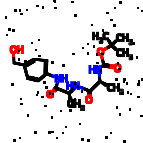 C[C@H](NC(=O)OC(C)(C)C)C(=O)N[C@@H](C)C(=O)Nc1ccc(CO)cc1